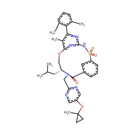 Cc1cccc(C)c1-c1nc2nc(c1C)OC[C@@H](CC(C)C)N(Cc1ncc(OC3(C)CC3)cn1)C(=O)c1cccc(c1)S(=O)(=O)N2